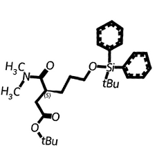 CN(C)C(=O)[C@@H](CCCO[Si](c1ccccc1)(c1ccccc1)C(C)(C)C)CC(=O)OC(C)(C)C